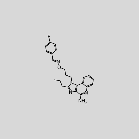 CCCc1nc2c(N)nc3ccccc3c2n1CCCO/N=C/c1ccc(F)cc1